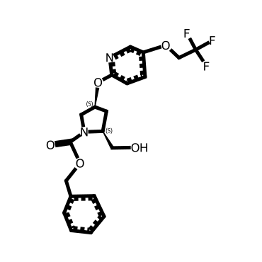 O=C(OCc1ccccc1)N1C[C@@H](Oc2ccc(OCC(F)(F)F)cn2)C[C@H]1CO